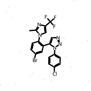 Cc1nc(C(F)(F)F)cn1-c1ccc(Br)cc1-c1cnnn1-c1ccc(Cl)cc1